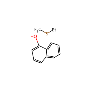 CCSC(F)(F)F.Oc1cccc2ccccc12